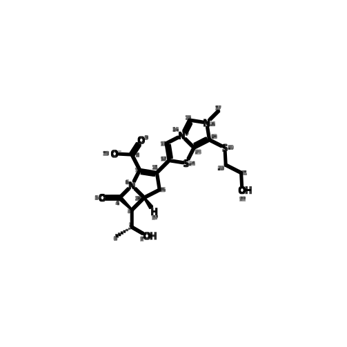 C[C@@H](O)[C@H]1C(=O)N2C(C(=O)[O-])=C(c3c[n+]4cn(C)c(SCCO)c4s3)C[C@H]12